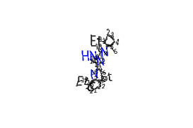 CCc1cccc(C)c1/N=C(\C)c1nc(/C(C)=N/c2c(CC)cccc2CC)c[nH]1